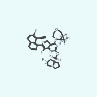 [2H]C([2H])(Oc1nc(N2CCOC[C@@H]3[C@H]2[C@@]3([2H])F)c2cnc(-c3cccc4ccc(F)c(C#C)c34)c(F)c2n1)[C@@]12CCCN1C[C@H](F)C2